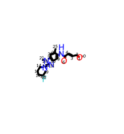 COC/C=C/C(=O)Nc1cc2nc(N3CCCC(F)C3)n(C)c2cc1C